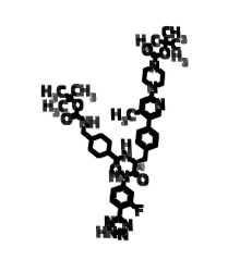 Cc1cc(N2CCN(C(=O)OC(C)(C)C)CC2)ncc1-c1ccc(C[C@H](NC(=O)C2CCC(CNC(=O)OC(C)(C)C)CC2)C(=O)Nc2ccc(-c3nn[nH]n3)c(F)c2)cc1